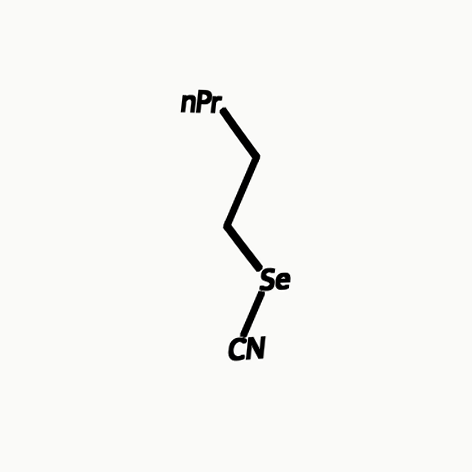 CCCCC[Se]C#N